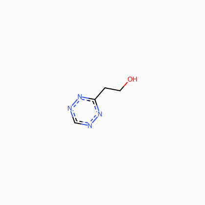 OCCc1nncnn1